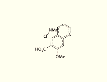 CNCl.COc1cc2ncccc2cc1C(=O)O